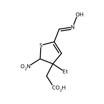 CCC1(CC(=O)O)C=C(C=NO)SC1[N+](=O)[O-]